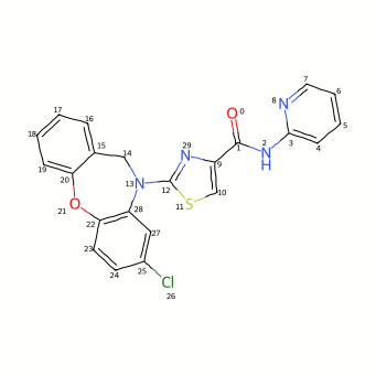 O=C(Nc1ccccn1)c1csc(N2Cc3ccccc3Oc3ccc(Cl)cc32)n1